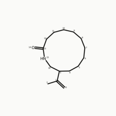 C=C(C)C1CCCCCCCCCC(=O)NC1